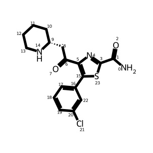 NC(=O)c1nc(C(=O)[CH][C@H]2CCCCN2)c(-c2cccc(Cl)c2)s1